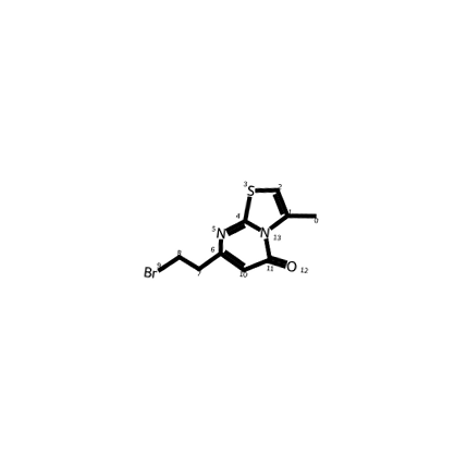 Cc1csc2nc(CCBr)cc(=O)n12